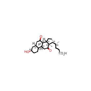 C[C@H](CCC(=O)O)[C@H]1CC[C@H]2[C@@H]3C(=O)C[C@@H]4C[C@H](O)CC[C@]4(C)[C@H]3CC(=O)[C@]12C